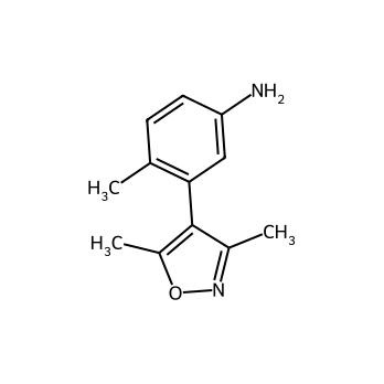 Cc1ccc(N)cc1-c1c(C)noc1C